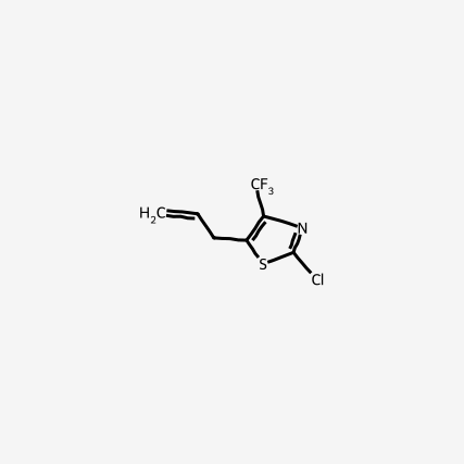 C=CCc1sc(Cl)nc1C(F)(F)F